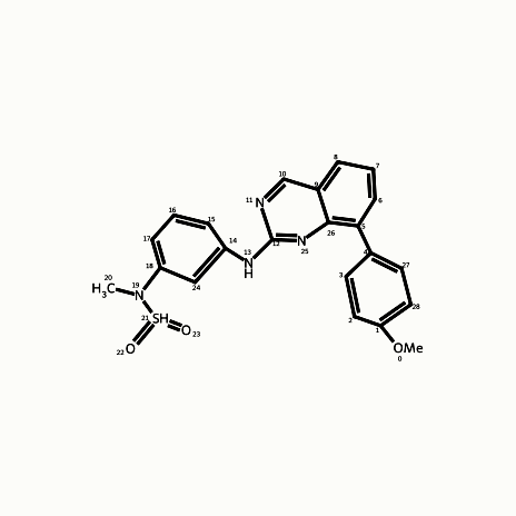 COc1ccc(-c2cccc3cnc(Nc4cccc(N(C)[SH](=O)=O)c4)nc23)cc1